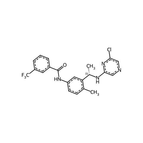 Cc1ccc(NC(=O)c2cccc(C(F)(F)F)c2)cc1[C@H](C)Nc1cncc(Cl)n1